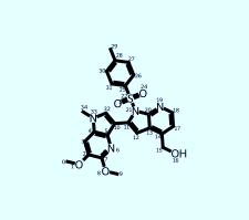 COc1cc2c(nc1OC)c(-c1cc3c(CO)ccnc3n1S(=O)(=O)c1ccc(C)cc1)cn2C